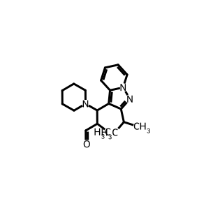 CC(C)c1nn2ccccc2c1C(C(C)C=O)N1CCCCC1